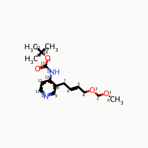 COCOC/C=C/Cc1cnccc1NC(=O)OC(C)(C)C